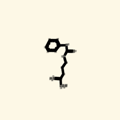 C=C(CCCOC(=O)Oc1ccccc1)C(=O)O